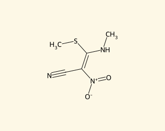 CNC(SC)=C(C#N)[N+](=O)[O-]